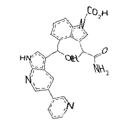 CCC(C(N)=O)c1cn(C(=O)O)c2cccc(C(O)c3c[nH]c4ncc(-c5cccnc5)cc34)c12